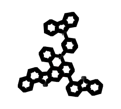 c1cc(N(c2ccc(-c3cccc4c3oc3ccccc34)cc2)c2ccccc2-c2cccc3oc4c5ccccc5ccc4c23)cc(-n2c3ccccc3c3ccccc32)c1